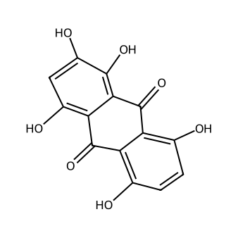 O=C1c2c(O)ccc(O)c2C(=O)c2c(O)c(O)cc(O)c21